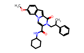 COc1ccc2cc3c(=O)n(CC(C)c4ccccc4)c(C(=O)NC4CCCCC4)cn3c2c1